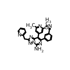 COc1cc(-c2c(-c3cccc(C#N)c3)nc(N)n3nc(Cc4ccccn4)nc23)cc(C)n1